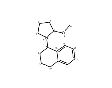 COC1CCCN1C1CCCc2ccccc21